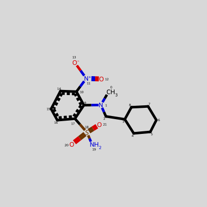 CN(CC1CCCCC1)c1c([N+](=O)[O-])cccc1S(N)(=O)=O